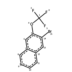 FC(F)(F)Oc1cc2cnccc2cc1Br